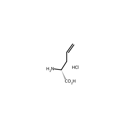 C=CC[C@@H](N)C(=O)O.Cl